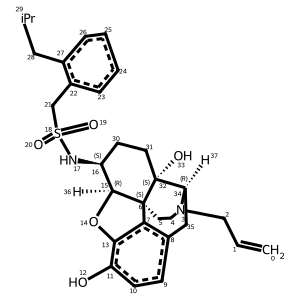 C=CCN1CC[C@]23c4c5ccc(O)c4O[C@H]2[C@@H](NS(=O)(=O)Cc2ccccc2CC(C)C)CC[C@@]3(O)[C@H]1C5